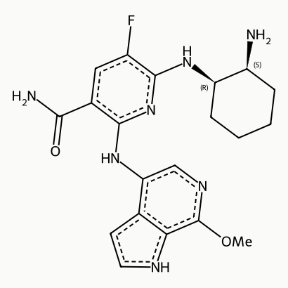 COc1ncc(Nc2nc(N[C@@H]3CCCC[C@@H]3N)c(F)cc2C(N)=O)c2cc[nH]c12